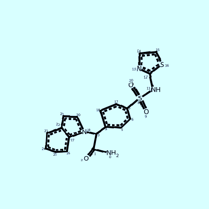 NC(=O)C(c1ccc(S(=O)(=O)Nc2nccs2)cc1)n1ccc2ccccc21